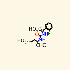 O=CC(CCC(=O)O)NC(=O)N[C@H](C(=O)O)c1ccccc1F